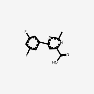 Cc1nc(C(=O)O)cc(-c2cc(F)cc(F)c2)n1